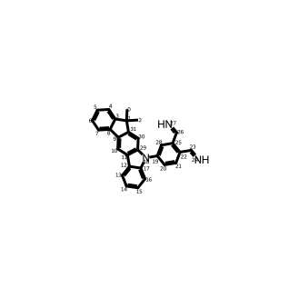 CC1(C)c2ccccc2-c2cc3c4ccccc4n(-c4ccc(C=N)c(C=N)c4)c3cc21